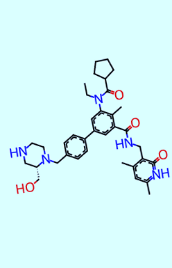 CCN(C(=O)C1CCCC1)c1cc(-c2ccc(CN3CCNC[C@H]3CO)cc2)cc(C(=O)NCc2c(C)cc(C)[nH]c2=O)c1C